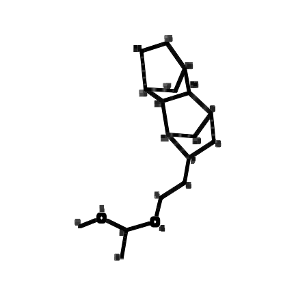 COC(C)OCCC1CC2CC1C1C3CCC(C3)C21